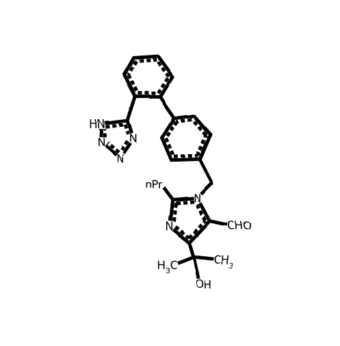 CCCc1nc(C(C)(C)O)c(C=O)n1Cc1ccc(-c2ccccc2-c2nnn[nH]2)cc1